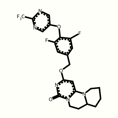 O=c1nc(OCc2cc(F)c(Oc3cnc(C(F)(F)F)nc3)c(F)c2)cc2n1CCC1CCCCN21